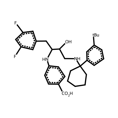 CC(C)(C)c1cccc(C2(NCC(O)C(Cc3cc(F)cc(F)c3)Nc3ccc(C(=O)O)cc3)CCCCC2)c1